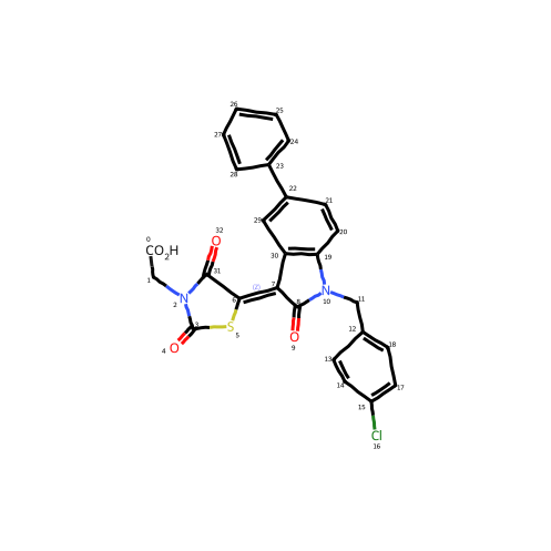 O=C(O)CN1C(=O)S/C(=C2\C(=O)N(Cc3ccc(Cl)cc3)c3ccc(-c4ccccc4)cc32)C1=O